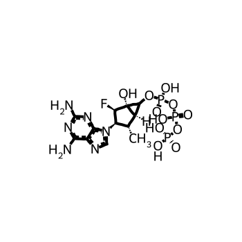 C[C@@H]1[C@@H](n2cnc3c(N)nc(N)nc32)[C@@H](F)[C@@]2(O)C(OP(=O)(O)OP(=O)(O)OP(=O)(O)O)[C@@H]12